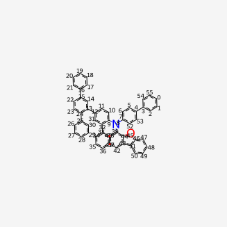 c1ccc(-c2ccc(N(c3ccc(-c4cc(-c5ccccc5)ccc4-c4ccccc4)cc3-c3ccccc3)c3cccc4c3oc3ccccc34)cc2)cc1